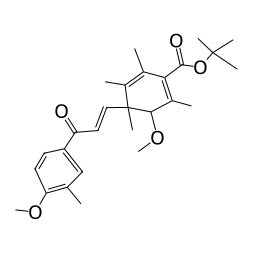 COc1ccc(C(=O)C=CC2(C)C(C)=C(C)C(C(=O)OC(C)(C)C)=C(C)C2OC)cc1C